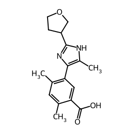 Cc1cc(C)c(-c2nc(C3CCOC3)[nH]c2C)cc1C(=O)O